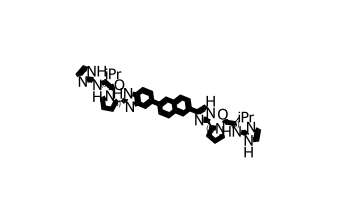 CC(C)[C@H](Nc1ncc[nH]1)C(=O)N1CCC[C@H]1c1nc(-c2ccc3cc(-c4ccc5[nH]c([C@@H]6CCCN6C(=O)[C@@H](Nc6ncc[nH]6)C(C)C)nc5c4)ccc3c2)c[nH]1